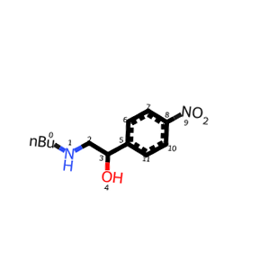 CCCCNCC(O)c1ccc([N+](=O)[O-])cc1